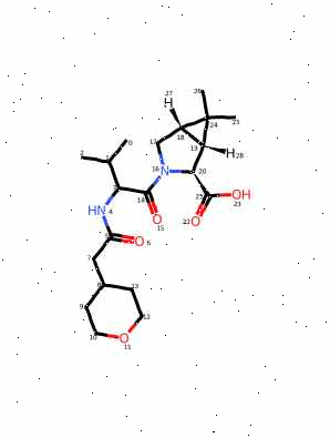 CC(C)C(NC(=O)CC1CCOCC1)C(=O)N1C[C@H]2[C@@H]([C@H]1C(=O)O)C2(C)C